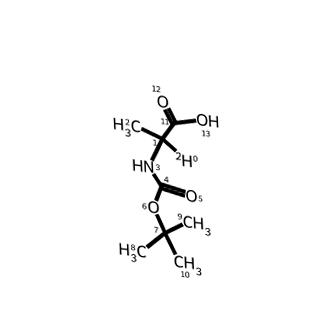 [2H]C(C)(NC(=O)OC(C)(C)C)C(=O)O